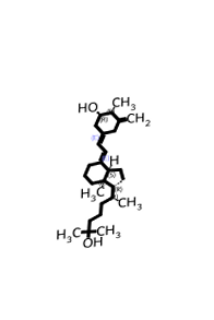 C=C1C/C(=C\C=C2/CCC[C@@]3(C)[C@@H]2CC[C@@H]3[C@H](C)CCCC(C)(C)O)C[C@@H](O)[C@@H]1C